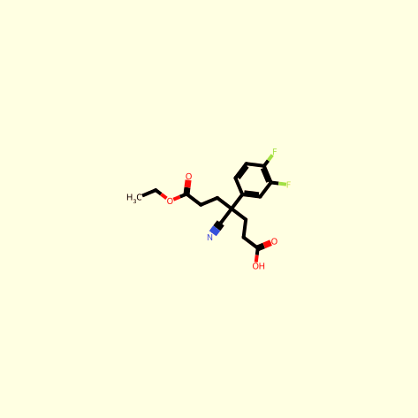 CCOC(=O)CCC(C#N)(CCC(=O)O)c1ccc(F)c(F)c1